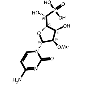 CO[C@@H]1[C@H](O)[C@@H]([C@H](O)P(=O)(O)O)O[C@H]1n1ccc(N)nc1=O